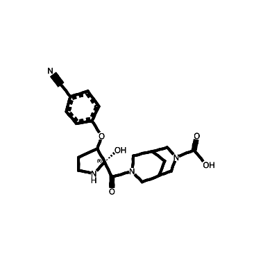 N#Cc1ccc(OC2CCN[C@]2(O)C(=O)N2CC3CC(CN(C(=O)O)C3)C2)cc1